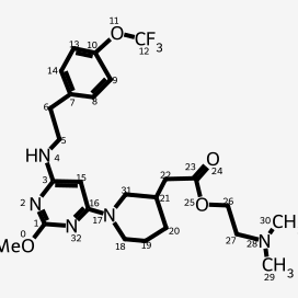 COc1nc(NCCc2ccc(OC(F)(F)F)cc2)cc(N2CCCC(CC(=O)OCCN(C)C)C2)n1